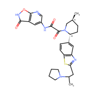 CC(Cc1nc2cc([C@H]3CC[C@H](C)CN3C(=O)C(=O)Nc3cnc4o[nH]c(=O)c4c3)ccc2s1)N1CCCC1